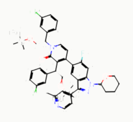 Cc1cc(-c2nn(C3CCCCO3)c3cc(F)c(-c4ccn([C@H](CO[Si](C)(C)C(C)(C)C)c5cccc(Cl)c5)c(=O)c4[C@@H](CO[Si](C)(C)C(C)(C)C)c4cccc(Cl)c4)cc23)ccn1